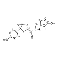 CC(C)(C)c1ccc(C23CC2CN(C(=O)[C@H]2C[C@]4(COC(=O)N4)C2)C3)cc1